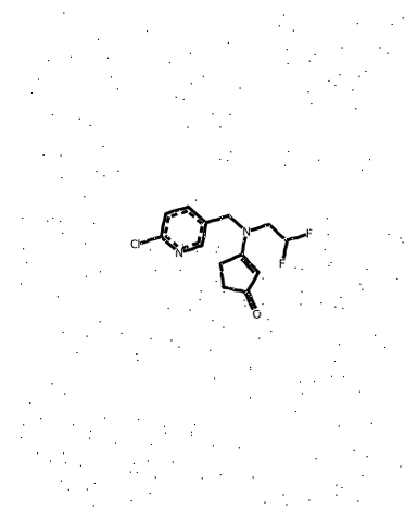 O=C1C=C(N(Cc2ccc(Cl)nc2)CC(F)F)CC1